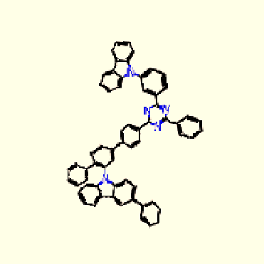 c1ccc(-c2ccc3c(c2)c2ccccc2n3-c2cc(-c3ccc(-c4nc(-c5ccccc5)nc(-c5cccc(-n6c7ccccc7c7ccccc76)c5)n4)cc3)ccc2-c2ccccc2)cc1